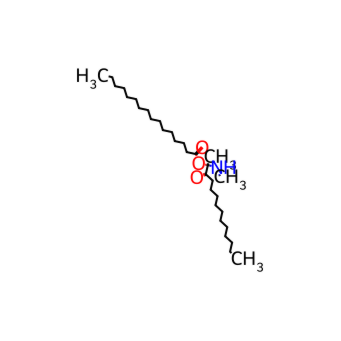 CCCCCCCCCCCCCCCC(=O)OC(C)(NC)C(=O)CCCCCCCCCCC